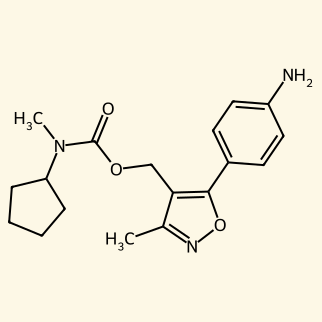 Cc1noc(-c2ccc(N)cc2)c1COC(=O)N(C)C1CCCC1